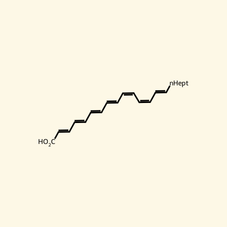 CCCCCCC/C=C/C=C\C=C/C=C/C=C/C=C/C=C/C(=O)O